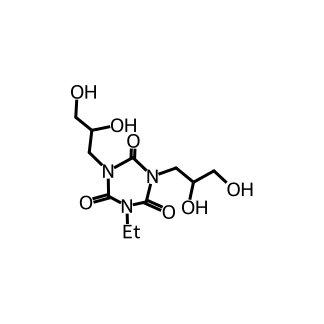 CCn1c(=O)n(CC(O)CO)c(=O)n(CC(O)CO)c1=O